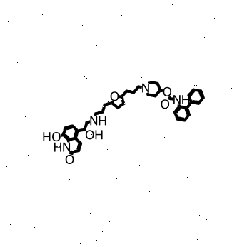 O=C(Nc1ccccc1-c1ccccc1)OC1CCN(CCCC2CCC(CCCNC[C@@H](O)c3ccc(O)c4[nH]c(=O)ccc34)O2)CC1